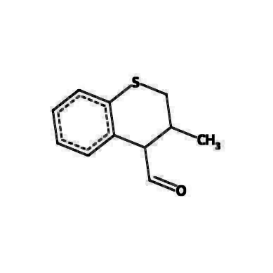 CC1CSc2ccccc2C1C=O